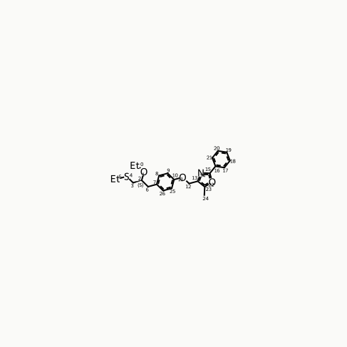 CCO[C@H](CSCC)Cc1ccc(OCc2nc(-c3ccccc3)oc2C)cc1